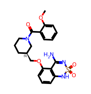 COc1ccccc1C(=O)N1CCC[C@H](COc2cccc3c2C(N)=NS(=O)(=O)N3)C1